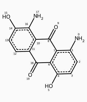 Nc1ccc(O)c2c1C(=O)c1c(ccc(O)c1N)C2=O